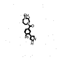 CC(C)c1ccc(C(=O)N2CCCN(C)CC2)cc1-c1cn[nH]c1